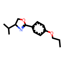 CCCOc1ccc(C2=NC(C(C)C)CO2)cc1